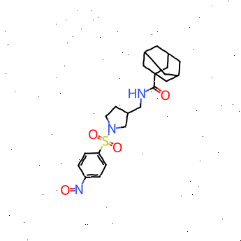 O=Nc1ccc(S(=O)(=O)N2CCC(CNC(=O)C34CC5CC(CC(C5)C3)C4)C2)cc1